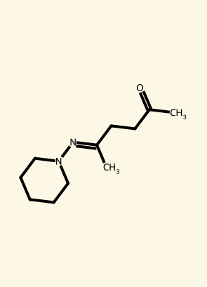 CC(=O)CC/C(C)=N/N1CCCCC1